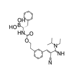 CCN(C(=N)C(C#N)=Cc1cccc(CCOC(=O)N[C@@H](Cc2ccccc2)B(O)O)c1)C(C)C